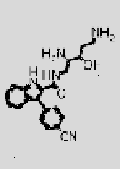 N#Cc1ccc(-c2c(C(=O)NC[C@H](N)C(O)CCN)[nH]c3ccccc23)cc1